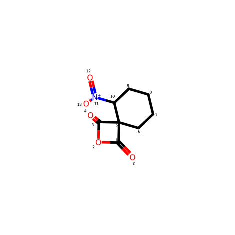 O=C1OC(=O)C12CCCCC2[N+](=O)[O-]